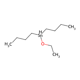 CCC[CH2][SnH]([CH2]CCC)[O]CC